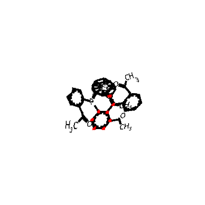 CC(=O)c1ccccc1P(c1ccccc1C(C)=O)[C]12[CH]3[CH]4[CH]5[C]1(P(c1ccccc1C(C)=O)c1ccccc1C(C)=O)[Fe]43521678[CH]2[CH]1[CH]6[CH]7[CH]28